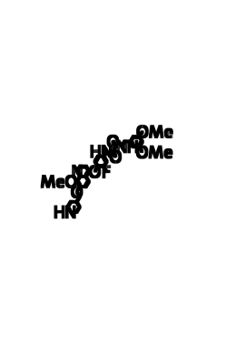 COc1cc(CNC(=O)C(=O)Nc2ccc(Oc3ccnc4c(OC)c(OCC5CCNCC5)ccc34)c(F)c2)cc(OC)c1